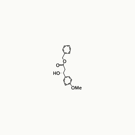 COc1ccc([C@H](O)CC(=O)OCc2ccccc2)cc1